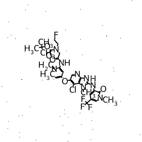 C=N/C(=C\C(=C/C)Oc1cnc2nc(Nc3cc(C(F)(F)F)cn(C)c3=O)n(C)c2c1Cl)NC(=O)CN(CCF)C(=O)OC(C)(C)C